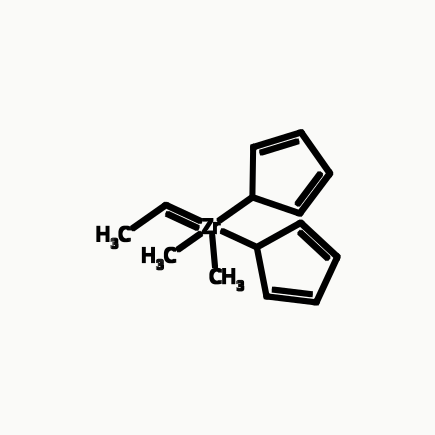 C[CH]=[Zr]([CH3])([CH3])([CH]1C=CC=C1)[CH]1C=CC=C1